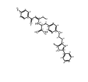 CC/C(=C/C(=O)c1ccc(F)cc1)N[C@@H](Cc1ccc(OCCc2nc(-c3ccccc3)oc2C)cc1)C(=O)O